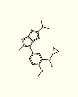 COc1ccc(-c2c(C)nc3sc(C(C)C)nn23)cc1[S+]([O-])C1CC1